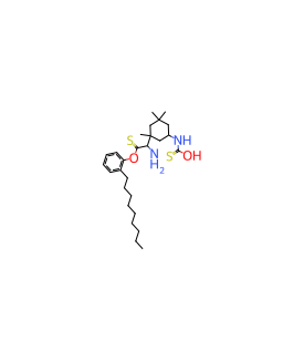 CCCCCCCCCc1ccccc1OC(=S)C(N)C1(C)CC(NC(O)=S)CC(C)(C)C1